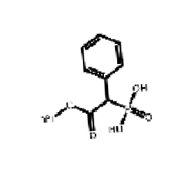 CCCOC(=O)C(c1ccccc1)P(=O)(O)O